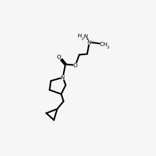 CN(N)CCOC(=O)N1CCC(CC2CC2)C1